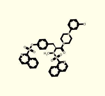 CN([C@@H](Cc1ccc(OS(=O)(=O)c2nccc3ccccc23)cc1)C(=O)N1CCN(c2cccc(Cl)c2)CC1)S(=O)(=O)c1nccc2ccccc12